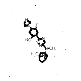 CN(c1cnc(-c2cc(F)c(-n3ccnc3)cc2O)nn1)[C@@H]1CC2CC[C@@](C)(C1)N2